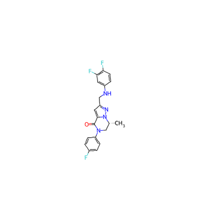 C[C@@H]1CN(c2ccc(F)cc2)C(=O)c2cc(CNc3ccc(F)c(F)c3)nn21